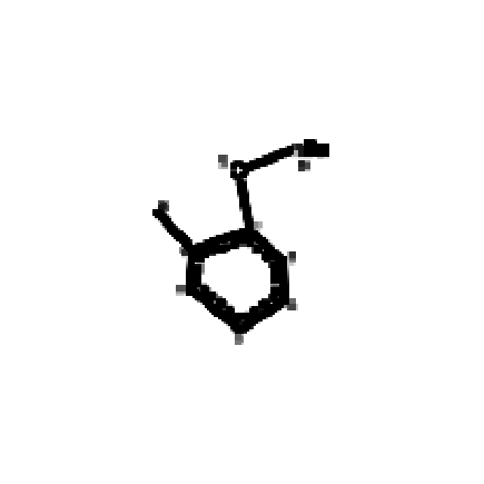 CCCCOc1ccc[c]c1C